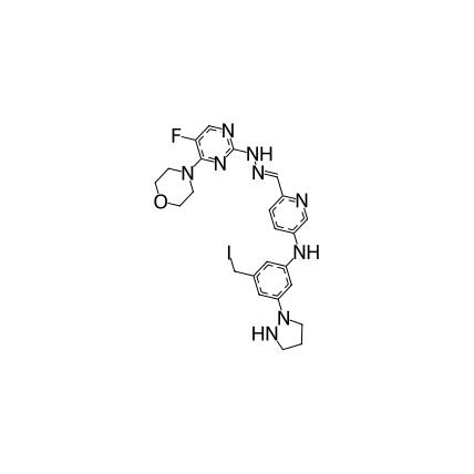 Fc1cnc(N/N=C/c2ccc(Nc3cc(CI)cc(N4CCCN4)c3)cn2)nc1N1CCOCC1